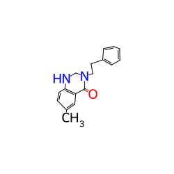 Cc1ccc2c(c1)C(=O)N(CCc1ccccc1)CN2